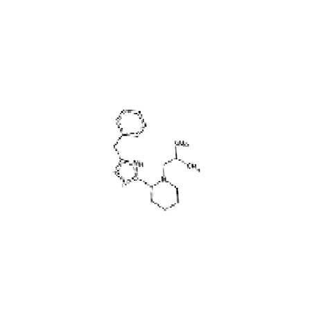 CSC(C)CN1CCCCC1c1ncc(Cc2ccccc2)[nH]1